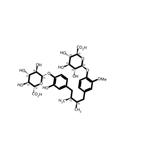 COc1cc(C[C@@H](C)[C@@H](C)Cc2ccc(O[C@@H]3O[C@H](C(=O)O)[C@@H](O)[C@H](O)[C@H]3O)c(O)c2)ccc1O[C@@H]1O[C@H](C(=O)O)[C@@H](O)[C@H](O)[C@H]1O